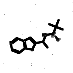 CC(N[S@@+]([O-])C(C)(C)C)c1cc2cnccc2o1